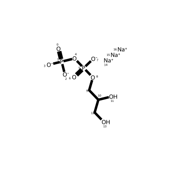 O=P([O-])([O-])OP(=O)([O-])OCC(O)CO.[Na+].[Na+].[Na+]